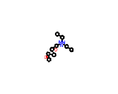 c1ccc(-c2ccc(-c3nc(-c4cccc(-c5ccccc5)c4)nc(-c4ccc5c(c4)oc4c(-c6ccccc6-c6cccc7oc8ccccc8c67)cccc45)n3)cc2)cc1